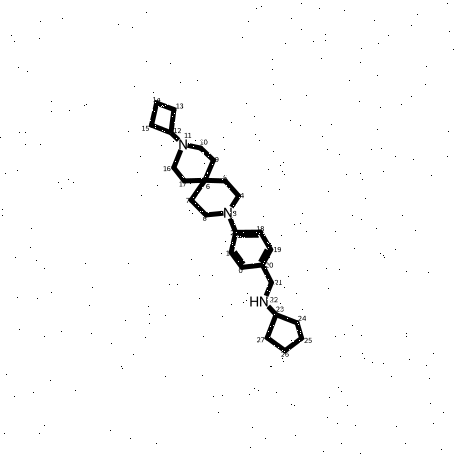 c1cc(N2CCC3(CC2)CCN(C2CCC2)CC3)ccc1CNC1CCCC1